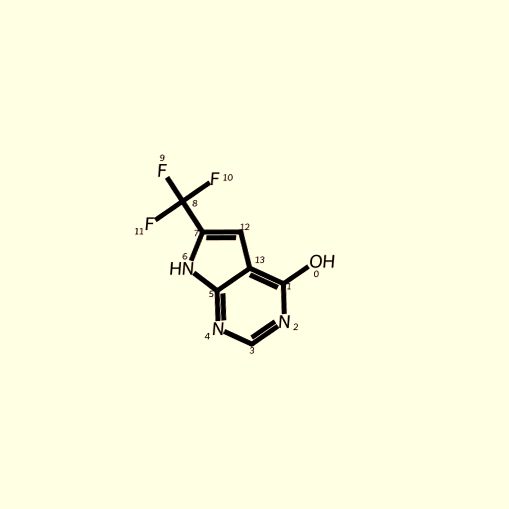 Oc1ncnc2[nH]c(C(F)(F)F)cc12